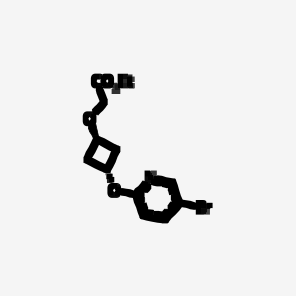 CCOC(=O)CO[C@H]1C[C@H](Oc2ccc(Br)cn2)C1